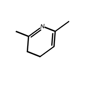 CC1=CCCC(C)=N1